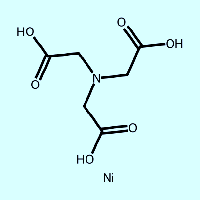 O=C(O)CN(CC(=O)O)CC(=O)O.[Ni]